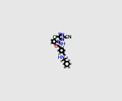 CC(C)(NCc1ccc(C(=O)NN(c2nc(C#N)ncc2Cl)C2CCCC2)cc1)C1CCCCC1